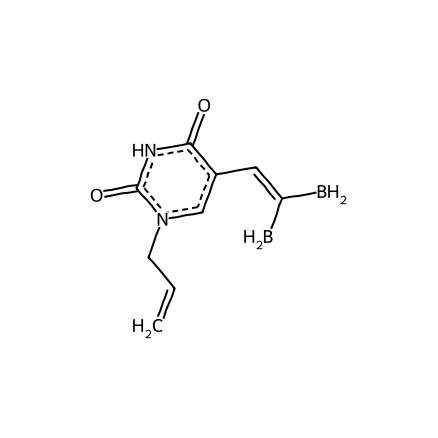 BC(B)=Cc1cn(CC=C)c(=O)[nH]c1=O